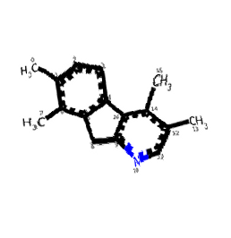 Cc1ccc2c(c1C)Cc1ncc(C)c(C)c1-2